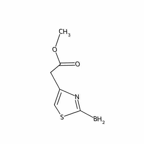 Bc1nc(CC(=O)OC)cs1